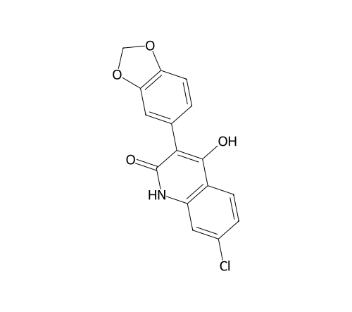 O=c1[nH]c2cc(Cl)ccc2c(O)c1-c1ccc2c(c1)OCO2